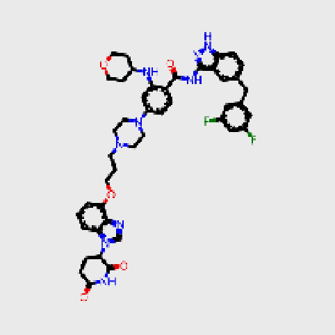 O=C1CCC(n2cnc3c(OCCCN4CCN(c5ccc(C(=O)Nc6n[nH]c7ccc(Cc8cc(F)cc(F)c8)cc67)c(NC6CCOCC6)c5)CC4)cccc32)C(=O)N1